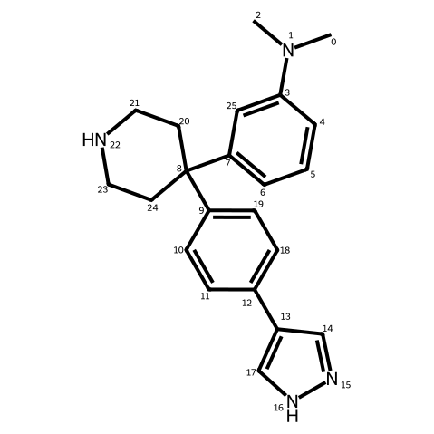 CN(C)c1cccc(C2(c3ccc(-c4cn[nH]c4)cc3)CCNCC2)c1